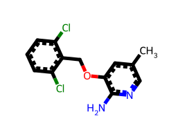 Cc1cnc(N)c(OCc2c(Cl)cccc2Cl)c1